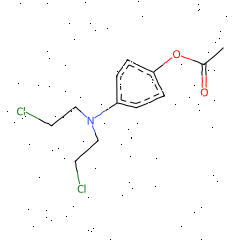 CC(=O)Oc1ccc(N(CCCl)CCCl)cc1